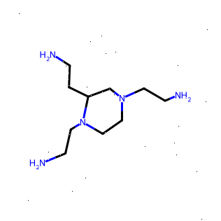 NCCC1CN(CCN)CCN1CCN